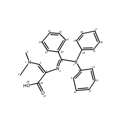 CN(C)C=C(N=C(B(c1ccccc1)c1ccccc1)c1ccccc1)C(=O)O